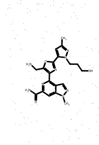 Cc1cc(-c2nc(-c3nc(C(N)=O)cc4c3cnn4C)c(CN)o2)n(CCCO)n1